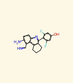 N=Cc1c(N)ccc2nc(-c3c(F)cc(O)cc3F)c3c(c12)CCCC3